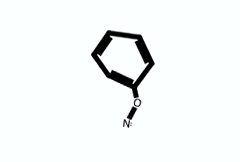 [N]Oc1ccccc1